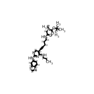 CCCNc1nc(Nc2ccc3ncsc3c2)ncc1C#CCCCNC(=O)CN(C)C(=O)OC(C)(C)C